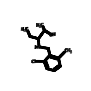 CCC(NCc1c(C)cccc1Cl)C(C)O